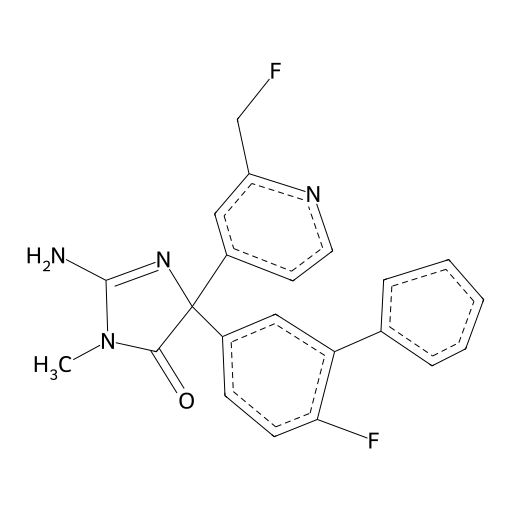 CN1C(=O)C(c2ccnc(CF)c2)(c2ccc(F)c(-c3ccccc3)c2)N=C1N